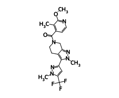 COc1nccc(C(=O)N2CCc3c(nn(C)c3-c3cc(C(F)(F)F)n(C)n3)C2)c1C